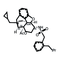 CC(=O)O[C@@]12CC[C@@H](NS(=O)(=O)Cc3ccccc3CC(C)C)[C@@H]3Oc4cccc5c4[C@@]31CCN(CC1CC1)[C@@H]2C5